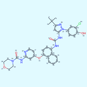 CC(C)(C)c1cc(NC(=O)Nc2ccc(Oc3ccnc(NC(=O)N4CCOCC4)c3)c3ccccc23)n(-c2ccc(O)c(Cl)c2)n1